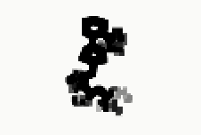 CC(N)CC(c1ncnn1Cc1ccc(-c2ccccc2-c2nnn[nH]2)cc1)C(C)(C)C